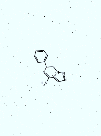 NC1=NC(c2ccccc2)Cn2nncc21